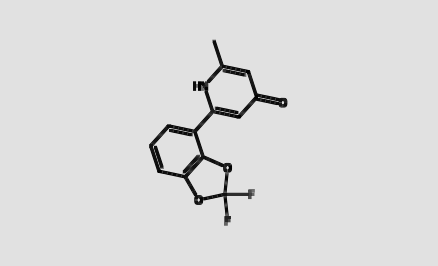 Cc1cc(=O)cc(-c2cccc3c2OC(F)(F)O3)[nH]1